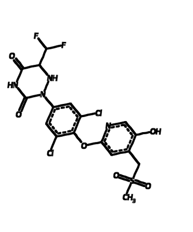 CS(=O)(=O)Cc1cc(Oc2c(Cl)cc(N3NC(C(F)F)C(=O)NC3=O)cc2Cl)ncc1O